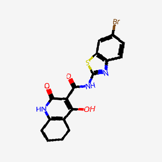 O=C(Nc1nc2ccc(Br)cc2s1)c1c(O)c2c([nH]c1=O)CCCC2